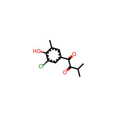 Cc1cc(C(=O)C(=O)C(C)C)cc(Cl)c1O